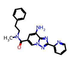 CN(CCc1ccccc1)C(=O)c1cc(N)c2nc(-c3ccccn3)nn2c1